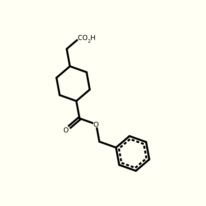 O=C(O)CC1CCC(C(=O)OCc2ccccc2)CC1